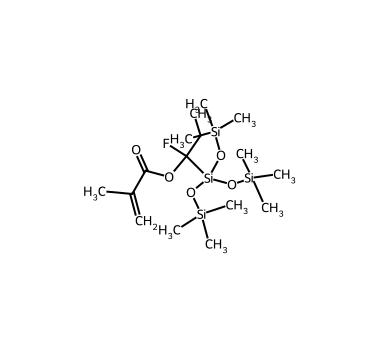 C=C(C)C(=O)OC(F)(CC)[Si](O[Si](C)(C)C)(O[Si](C)(C)C)O[Si](C)(C)C